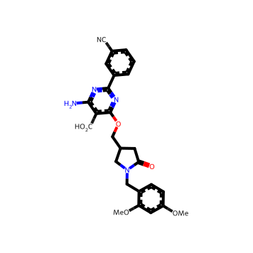 COc1ccc(CN2CC(COc3nc(-c4cccc(C#N)c4)nc(N)c3C(=O)O)CC2=O)c(OC)c1